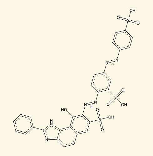 O=S(=O)(O)c1ccc(/N=N/c2ccc(/N=N/c3c(S(=O)(=O)O)cc4ccc5nc(-c6ccccc6)[nH]c5c4c3O)c(S(=O)(=O)O)c2)cc1